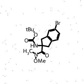 CON(C)C(=O)C1(NC(=O)OC(C)(C)C)Cc2ccc(Br)cc2C1